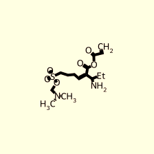 C=CC(=O)OC(=O)C(=CCCCS(=O)(=O)OCN(C)C)C(N)CC